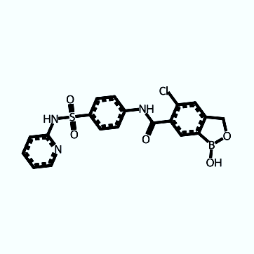 O=C(Nc1ccc(S(=O)(=O)Nc2ccccn2)cc1)c1cc2c(cc1Cl)COB2O